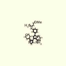 COCCN(C)Cc1cccc(-c2cc(-c3ccnn3C3CCOCC3)c3c(N)ncnn23)c1